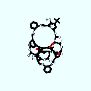 CCC12CCC(=O)Oc3cc(c(O)c(C(C)(C)C)c3)/C=N/c3ccccc3/N=C/c3cc4cc(c3O)C(C)(C)C35C1C(C)(C)c1cc(cc(c1O)/C=N/c1ccccc1/N=C/c1cc(cc(c1O)C3(C)C)OC(=O)CCC5(CC)CCC(=O)O4)OC(=O)CC2